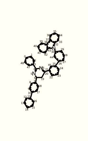 c1ccc(C2=NC(c3ccc(-c4ccccc4)cc3)CC(c3cccc(-c4cccc(-n5c6ccccc6c6ccccc65)c4)c3)=N2)cc1